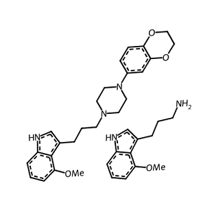 COc1cccc2[nH]cc(CCCN)c12.COc1cccc2[nH]cc(CCCN3CCN(c4ccc5c(c4)OCCO5)CC3)c12